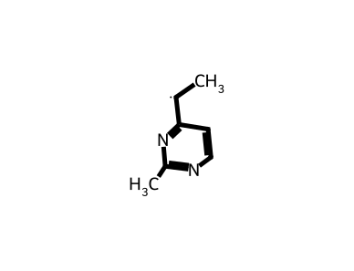 C[CH]c1ccnc(C)n1